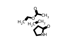 C=C.C=COC(C)=O.O=C1CCCN1